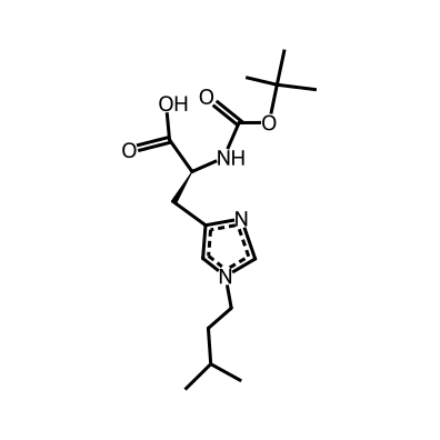 CC(C)CCn1cnc(C[C@H](NC(=O)OC(C)(C)C)C(=O)O)c1